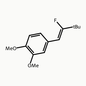 COc1ccc(/C=C(\F)C(C)(C)C)cc1OC